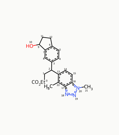 CCOC(=O)CC(c1ccc2c(c1)C(O)CC2)c1ccc2c(nnn2C)c1C